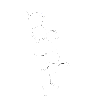 CC(C)OC(=O)OC[C@@]1(C#N)O[C@@H](c2ccc3c(/N=C\N(C)C)ncnn23)[C@H](O)[C@@H]1O